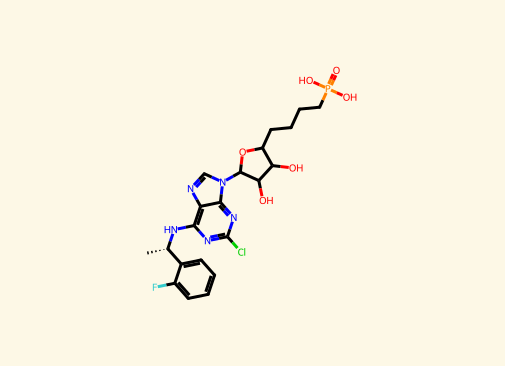 C[C@H](Nc1nc(Cl)nc2c1ncn2C1OC(CCCCP(=O)(O)O)C(O)C1O)c1ccccc1F